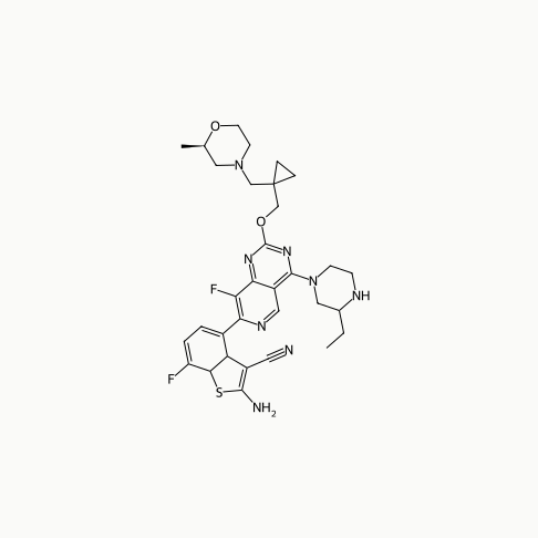 CCC1CN(c2nc(OCC3(CN4CCO[C@H](C)C4)CC3)nc3c(F)c(C4=CC=C(F)C5SC(N)=C(C#N)C45)ncc23)CCN1